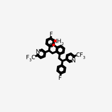 NC(=O)c1cccc(CC(c2ccc(F)cc2)c2ccc(C(F)(F)F)nc2)c1CC(c1ccc(F)cc1)c1ccc(C(F)(F)F)nc1